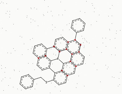 c1ccc(CSc2ccccc2-c2cccn[c]2[Ir]([c]2ncccc2-c2ccccc2SCc2ccccc2)[c]2ncccc2-c2ccccc2SCc2ccccc2)cc1